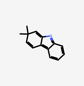 CC1(C)C=CC2=c3ccccc3=NC2=C1